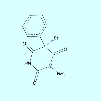 CC[C@@]1(c2ccccc2)C(=O)NC(=O)N(N)C1=O